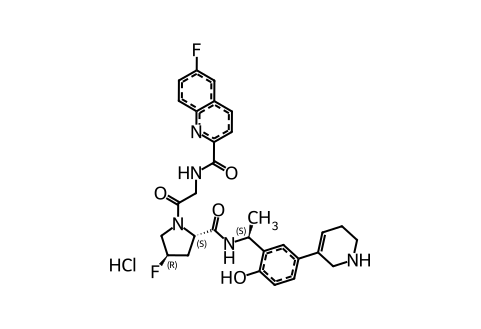 C[C@H](NC(=O)[C@@H]1C[C@@H](F)CN1C(=O)CNC(=O)c1ccc2cc(F)ccc2n1)c1cc(C2=CCCNC2)ccc1O.Cl